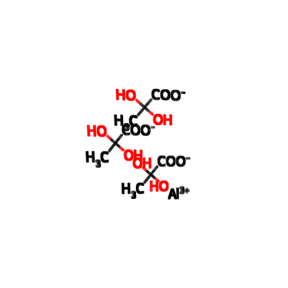 CC(O)(O)C(=O)[O-].CC(O)(O)C(=O)[O-].CC(O)(O)C(=O)[O-].[Al+3]